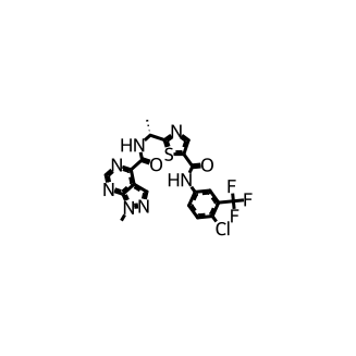 C[C@@H](NC(=O)c1ncnc2c1cnn2C)c1ncc(C(=O)Nc2ccc(Cl)c(C(F)(F)F)c2)s1